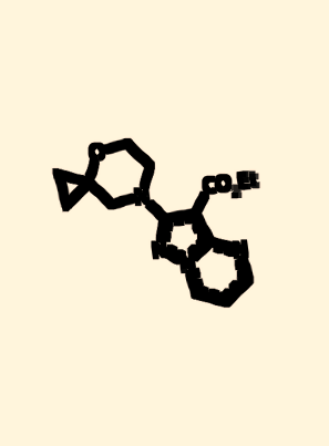 CCOC(=O)c1c(N2CCOC3(CC3)C2)nn2cccnc12